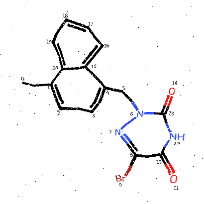 Cc1ccc(Cn2nc(Br)c(=O)[nH]c2=O)c2ccccc12